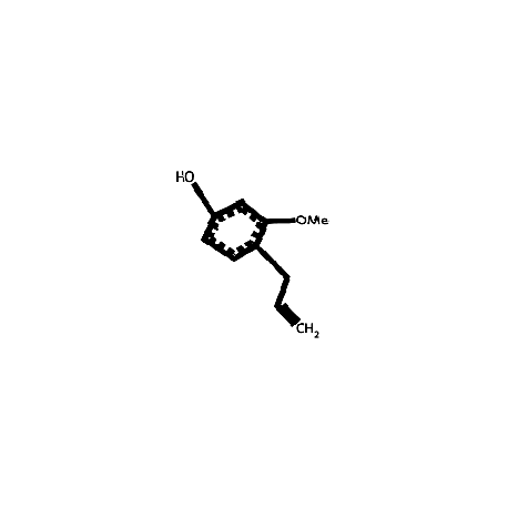 C=CCc1ccc(O)cc1OC